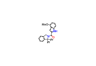 COc1cccc2[nH]c(C(=O)N3Cc4ccccc4C3(C(C)C)C(C)C)cc12